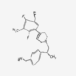 Cc1c(F)c(F)cc(C2=CCN(C[C@@H](C)c3ccc(CC(C)C)cc3)CC2)c1F